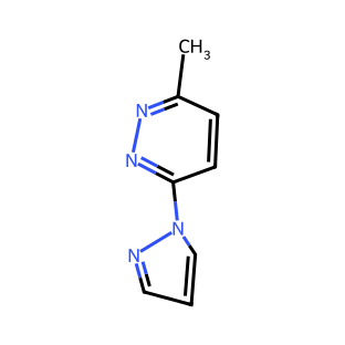 Cc1ccc(-n2cccn2)nn1